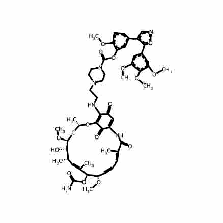 COc1ccc(-c2cnoc2-c2cc(OC)c(OC)c(OC)c2)cc1OC(=O)N1CCN(CCNC2=C3C[C@@H](C)C[C@H](OC)[C@@H](O)[C@@H](C)/C=C(\C)[C@H](OC(N)=O)[C@@H](OC)/C=C\C=C(/C)C(=O)NC(=CC2=O)C3=O)CC1